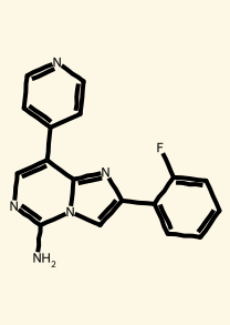 Nc1ncc(-c2ccncc2)c2nc(-c3ccccc3F)cn12